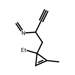 C#CC(CC1(CC)C=C1C)N=C